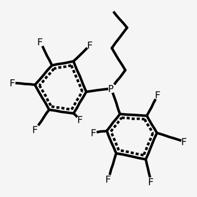 CCCCP(c1c(F)c(F)c(F)c(F)c1F)c1c(F)c(F)c(F)c(F)c1F